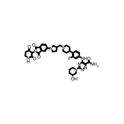 NC(=O)c1nnc(N2CCC[C@@H](O)C2)nc1Nc1ccc(C2CCN(CC3CCN(c4ccc5c(c4)C(=O)N(C4C(=O)CCNC4=O)C5=O)C3)CC2)c(F)c1